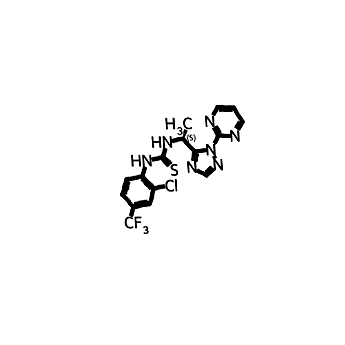 C[C@H](NC(=S)Nc1ccc(C(F)(F)F)cc1Cl)c1ncnn1-c1ncccn1